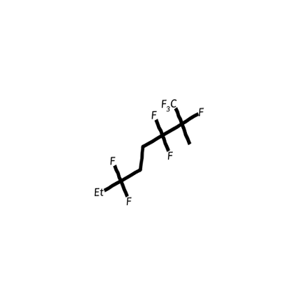 CCC(F)(F)CCC(F)(F)C(C)(F)C(F)(F)F